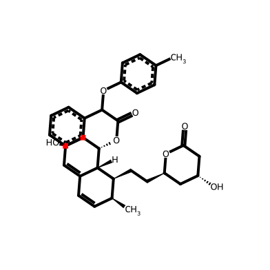 Cc1ccc(OC(C(=O)O[C@H]2C[C@H](O)C=C3C=C[C@H](C)[C@H](CC[C@@H]4C[C@@H](O)CC(=O)O4)[C@H]32)c2ccccc2)cc1